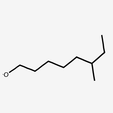 CCC(C)CCCCC[O]